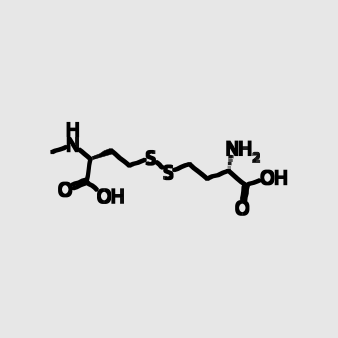 CN[C@@H](CCSSCC[C@H](N)C(=O)O)C(=O)O